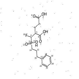 O=C(O)CCC(C(=O)O)C(F)P(=O)(O)CCCc1ccccc1